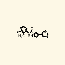 Cc1c(F)cccc1N(O)C(=O)[C@@H]1C=C(c2cncnc2)CC1